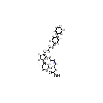 O=C(O)CC/C=C\CC[C@H]1[C@@H](OCCCc2ccc(-c3ccccc3)cc2)CC[C@@H]1N1CCCCC1